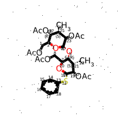 CC(=O)OCC1O[C@@H](O[C@H]2C(COC(C)=O)O[C@@H](Sc3ccccc3)C(OC(C)=O)[C@H]2C)C(OC(C)=O)[C@@H](C)[C@H]1OC(C)=O